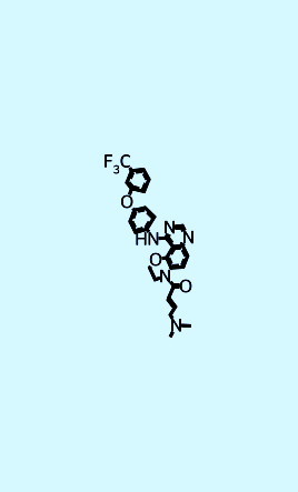 CN(C)C/C=C/C(=O)N1CCOc2c1ccc1ncnc(Nc3ccc(Oc4cccc(C(F)(F)F)c4)cc3)c21